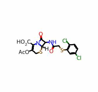 CC(=O)OC1=C(C(=O)O)N2C(=O)C(NC(=O)CSc3cc(Cl)ccc3Cl)[C@@H]2SC1